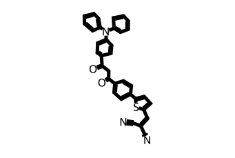 N#CC(C#N)=Cc1ccc(-c2ccc(C(=O)CC(=O)c3ccc(N(c4ccccc4)c4ccccc4)cc3)cc2)s1